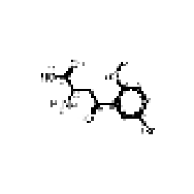 COc1ccc(Br)cc1C(=O)CC(N)C(=O)O